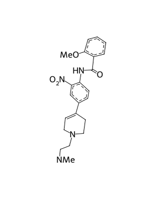 CNCCN1CC=C(c2ccc(NC(=O)c3ccccc3OC)c([N+](=O)[O-])c2)CC1